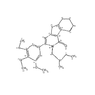 CCC(C)Cn1c(-c2cc(OC)c(OC)c(OC)c2)nc2sc3c(c2c1=O)CCCC3